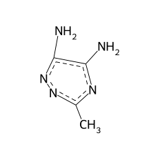 Cc1nnc(N)c(N)n1